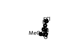 COc1ccc(CN2C(=O)CCC(n3nc(C)c4c(N5CCC(c6ccc(Cl)c(F)c6F)CC5)cccc43)C2=O)cc1